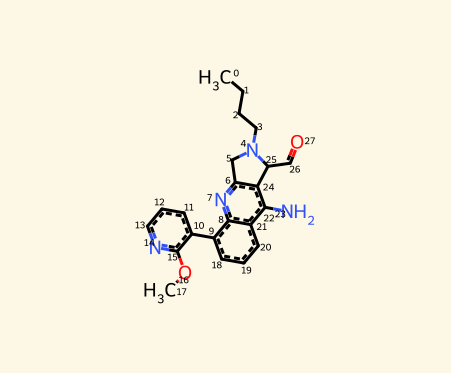 CCCCN1Cc2nc3c(-c4cccnc4OC)cccc3c(N)c2C1C=O